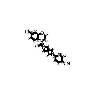 N#Cc1ccc(N2CC3(CN(C(=O)N4CCOc5cc(Cl)ccc54)C3)C2)nc1